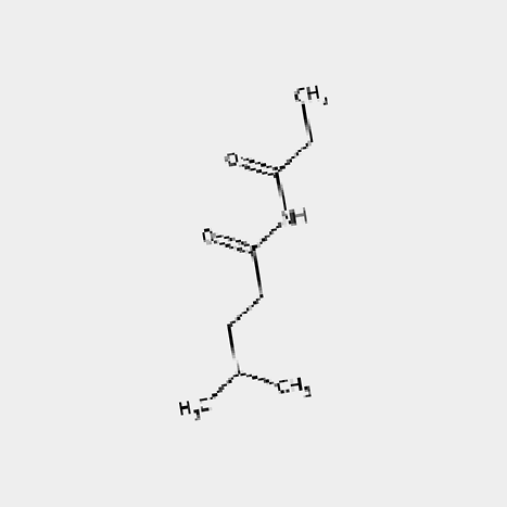 CCC(=O)NC(=O)CCC(C)C